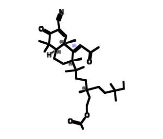 CCC(C)(C)CC[C@](C)(CCOC(C)=O)CCC(C)(C)[C@]1(C)CC[C@H]2C(C)(C)C(=O)C(C#N)=C[C@]2(C)/C1=C/C(C)=O